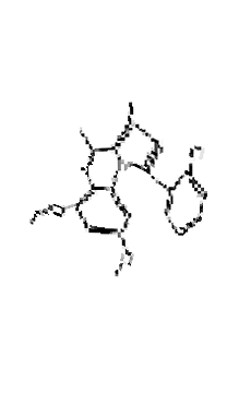 COc1cc(OC)c2nc(C)c3c(C)nc(-c4ccccc4Cl)n3c2c1